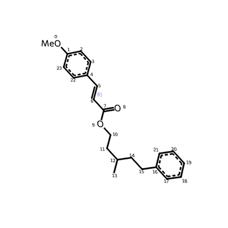 COc1ccc(/C=C/C(=O)OCCC(C)CCc2ccccc2)cc1